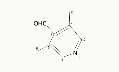 Cc1cncc(C)c1C=O